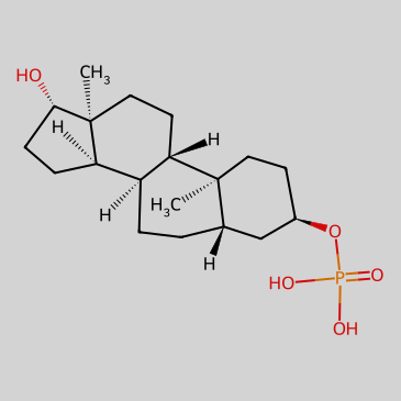 C[C@]12CC[C@H]3[C@@H](CC[C@H]4C[C@H](OP(=O)(O)O)CC[C@@]43C)[C@H]1CC[C@@H]2O